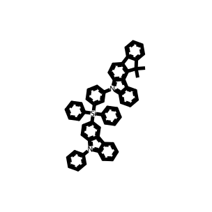 CC1(C)c2ccccc2-c2ccc3c(c21)c1ccccc1n3-c1cccc([Si](c2ccccc2)(c2ccccc2)c2ccc3c(c2)c2ccccc2n3-c2ccccc2)c1